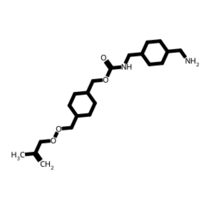 C=C(C)COOCC1CCC(COC(=O)NCC2CCC(CN)CC2)CC1